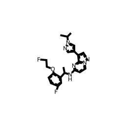 CC(Nc1ccn2ncc(-c3cnn(C(C)C)c3)c2n1)c1cc(F)ccc1OCCF